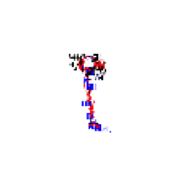 CO[C@H]1C[C@@H]2CC[C@@H](C)[C@@](O)(O2)C(=O)C(=O)N2CCCC[C@H]2C(=O)O[C@H]([C@H](N)C[C@@H]2CC[C@H](n3cc(CCCC(=O)NCCOCCOCCOCCC(=O)NCCOCCOCCC(=O)NCCCCn4nc(-c5ccc6oc(N)nc6c5)c5c(N)ncnc54)nn3)[C@H](OC)C2)CC(=O)[C@H](C)/C=C(\C)[C@@H](O)[C@@H](O)C(=O)[C@H](C)C[C@H](C)/C=C/C=C/C=C/1C